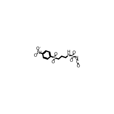 O=C=NS(=O)(=O)NCCCS(=O)(=O)c1ccc([N+](=O)[O-])cc1